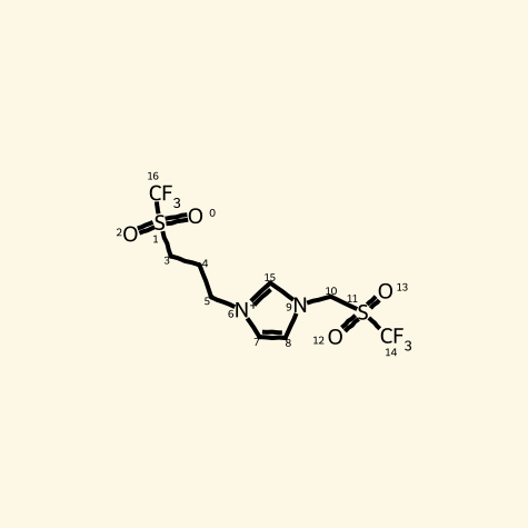 O=S(=O)(CCC[n+]1ccn(CS(=O)(=O)C(F)(F)F)c1)C(F)(F)F